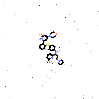 Cc1cccc(C(CCN2CCCC2)Nc2ccc3c(c2)Sc2cccc(-c4cc(N5CCOCC5)cc(=O)[nH]4)c2S3)n1